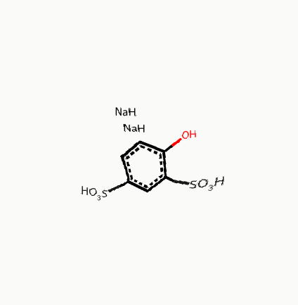 O=S(=O)(O)c1ccc(O)c(S(=O)(=O)O)c1.[NaH].[NaH]